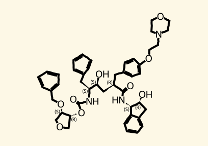 O=C(N[C@@H](Cc1ccccc1)[C@@H](O)C[C@@H](Cc1ccc(OCCN2CCOCC2)cc1)C(=O)N[C@H]1c2ccccc2C[C@H]1O)O[C@@H]1COC[C@@H]1OCc1ccccc1